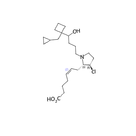 O=C(O)CCC/C=C\C[C@H]1[C@H](Cl)CCN1CCCC(O)C1(CC2CC2)CCC1